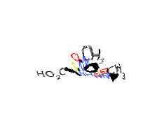 Cn1c(=O)n(C2NCC(CCC(=O)O)S2)c2cc(S(=O)(=O)NC3(C)CC3)ccc21